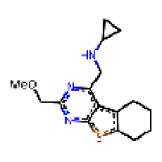 COCc1nc(CNC2CC2)c2c3c(sc2n1)CCCC3